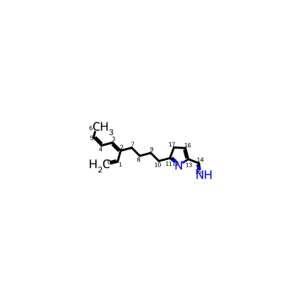 C=C/C(=C\C=C/C)CCCCC1=NC(C=N)=CC1